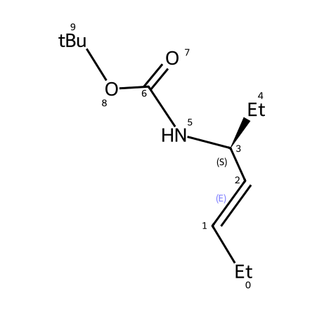 CC/C=C/[C@H](CC)NC(=O)OC(C)(C)C